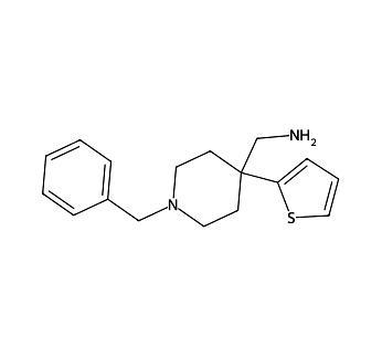 NCC1(c2cccs2)CCN(Cc2ccccc2)CC1